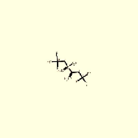 C=C(CC(F)(F)F)P(=O)(O)CC(F)(F)F